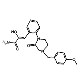 COc1ccc(CN2CCN(c3ccccc3C=C(O)C(N)=O)C(=O)C2)cc1